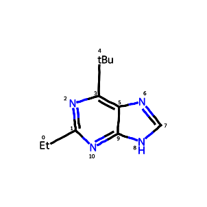 CCc1nc(C(C)(C)C)c2nc[nH]c2n1